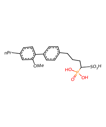 CCCc1ccc(-c2ccc(CCCC(P(=O)(O)O)S(=O)(=O)O)cc2)c(OC)c1